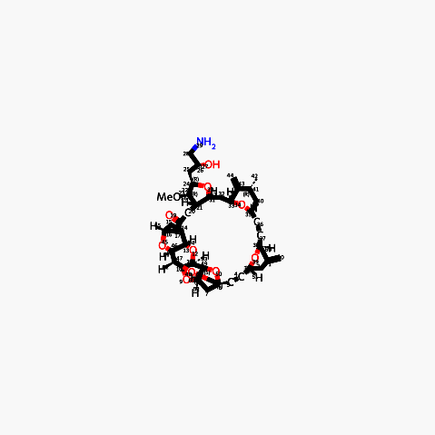 C=C1C[C@@H]2CC[C@@]34C[C@H]5OC6[C@@H](O[C@H]7CC[C@H](CC(=O)C[C@@H]8[C@@H](OC)[C@@H](C[C@H](O)CN)O[C@H]8C[C@H]8O[C@@H](CC[C@@H]1O2)C[C@@H](C)C8=C)O[C@@H]7[C@@H]6O3)[C@H]5O4